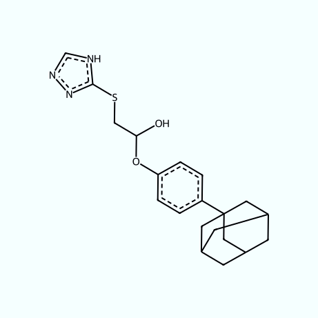 OC(CSc1nnc[nH]1)Oc1ccc(C23CC4CC(CC(C4)C2)C3)cc1